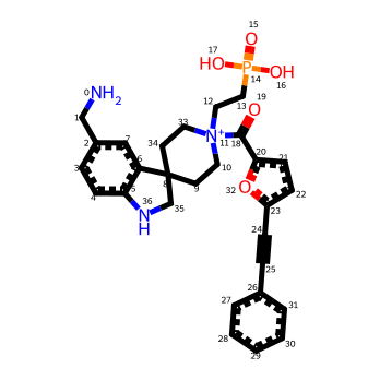 NCc1ccc2c(c1)C1(CC[N+](CCP(=O)(O)O)(C(=O)c3ccc(C#Cc4ccccc4)o3)CC1)CN2